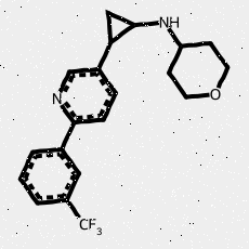 FC(F)(F)c1cccc(-c2ccc(C3CC3NC3CCOCC3)cn2)c1